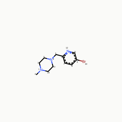 CN1CCN(Cc2ccc(Br)cn2)CC1